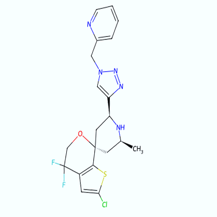 C[C@H]1C[C@@]2(C[C@@H](c3cn(Cc4ccccn4)nn3)N1)OCC(F)(F)c1cc(Cl)sc12